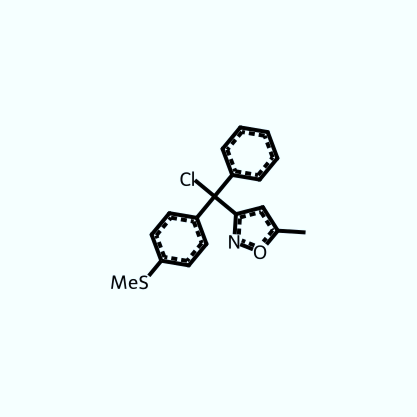 CSc1ccc(C(Cl)(c2ccccc2)c2cc(C)on2)cc1